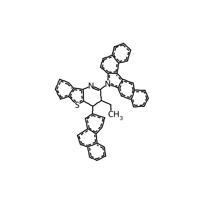 CCC1C(n2c3cc4ccccc4cc3c3c4ccccc4ccc32)=Nc2c(sc3ccccc23)C1c1ccc2c(ccc3ccccc32)c1